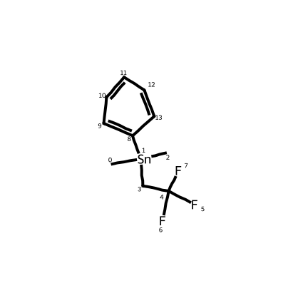 [CH3][Sn]([CH3])([CH2]C(F)(F)F)[c]1ccccc1